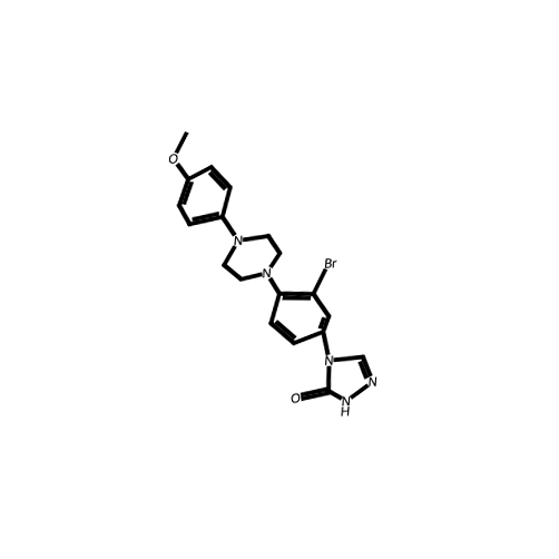 COc1ccc(N2CCN(c3ccc(-n4cn[nH]c4=O)cc3Br)CC2)cc1